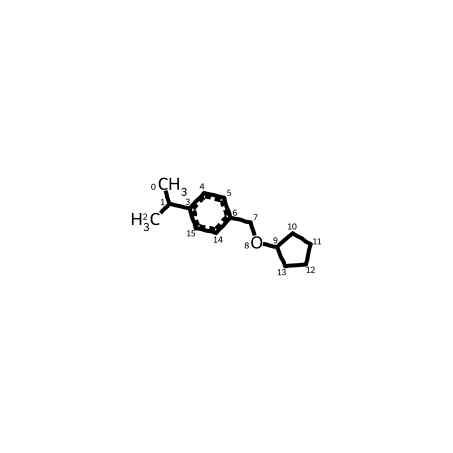 CC(C)c1ccc(COC2CCCC2)cc1